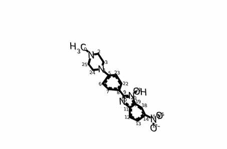 CN1CCN(c2ccc(-c3nc4ccc([N+](=O)[O-])cc4n3O)cc2)CC1